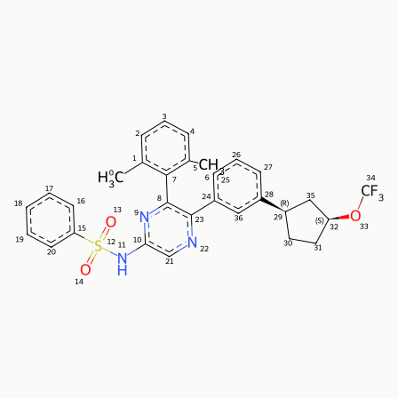 Cc1cccc(C)c1-c1nc(NS(=O)(=O)c2ccccc2)cnc1-c1cccc([C@@H]2CC[C@H](OC(F)(F)F)C2)c1